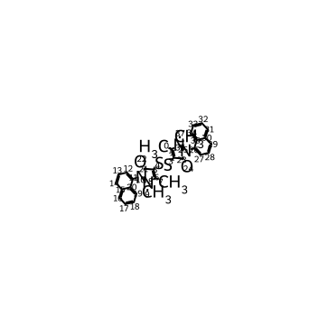 Cc1c(SSc2c(C)n(C)n(-c3cccc4ccccc34)c2=O)c(=O)n(-c2cccc3ccccc23)n1C